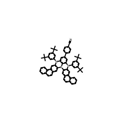 CC(C)(C)c1cc(N2c3cc4c(ccc5ccccc54)cc3B3c4cc5ccc6ccccc6c5cc4N(c4cc(C(C)(C)C)cc(C(C)(C)C)c4)c4cc(-c5ccc(C#N)cc5)cc2c43)cc(C(C)(C)C)c1